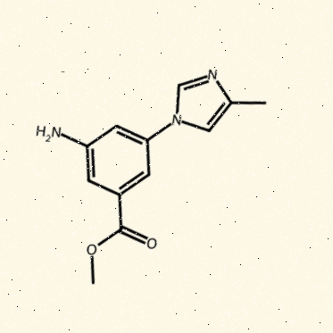 COC(=O)c1cc(N)cc(-n2cnc(C)c2)c1